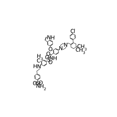 Cc1cc(S(=O)(=O)NC(=O)c2ccc(N3CCN(CC4=C(c5ccc(Cl)cc5)CC(C)(C)CC4)CC3)cc2Oc2ccc3[nH]ccc3c2)ccc1NCCc1ccc(S(N)(=O)=O)cc1